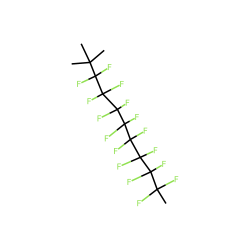 CC(C)(C)C(F)(F)C(F)(F)C(F)(F)C(F)(F)C(F)(F)C(F)(F)C(F)(F)C(C)(F)F